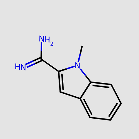 Cn1c(C(=N)N)cc2ccccc21